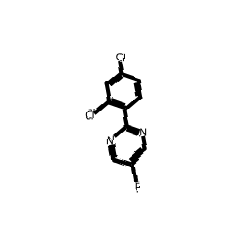 Fc1cnc(-c2ccc(Cl)cc2Cl)nc1